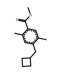 COC(=O)c1cc(I)c(CC2CCC2)cc1C